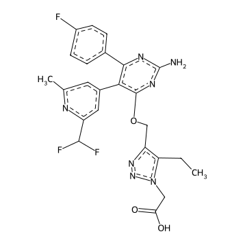 CCc1c(COc2nc(N)nc(-c3ccc(F)cc3)c2-c2cc(C)nc(C(F)F)c2)nnn1CC(=O)O